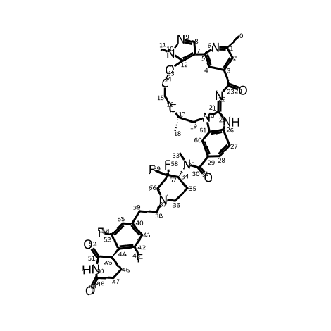 Cc1cc2cc(n1)-c1cnn(C)c1OCCC[C@@H](C)CN1/C(=N/C2=O)Nc2ccc(C(=O)N(C)[C@@H]3CCN(CCc4cc(F)c([C@H]5CCC(=O)NC5=O)c(F)c4)CC3(F)F)cc21